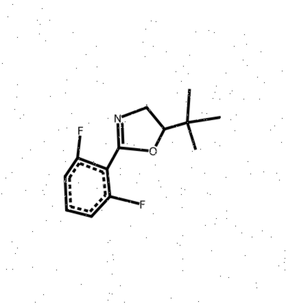 CC(C)(C)C1[CH]N=C(c2c(F)cccc2F)O1